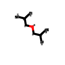 CCC(C#N)COCC(C#N)CC